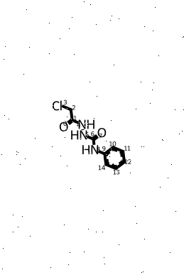 O=C(CCl)NNC(=O)Nc1ccccc1